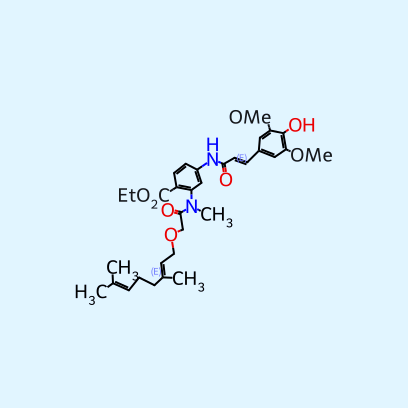 CCOC(=O)c1ccc(NC(=O)/C=C/c2cc(OC)c(O)c(OC)c2)cc1N(C)C(=O)COC/C=C(\C)CCC=C(C)C